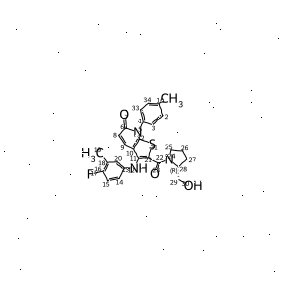 Cc1ccc(-n2c(=O)ccc3c(Nc4ccc(F)c(C)c4)c(C(=O)N4CCC[C@@H]4CO)sc32)cc1